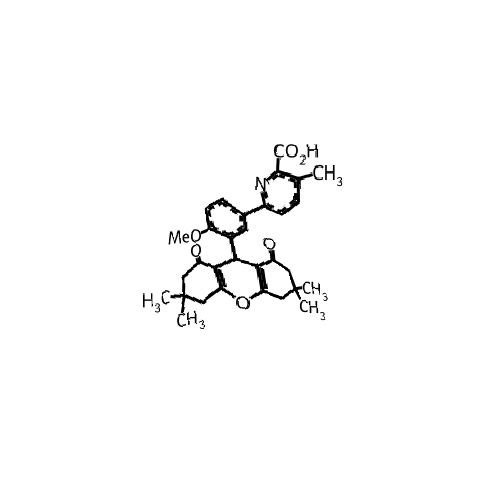 COc1ccc(-c2ccc(C)c(C(=O)O)n2)cc1C1C2=C(CC(C)(C)CC2=O)OC2=C1C(=O)CC(C)(C)C2